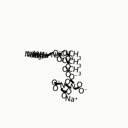 CC(=O)[O-].CC(=O)[O-].CC(=O)[O-].CC(=O)[O-].NCCN.O=C([O-])CN(CCN(CC(=O)[O-])CC(=O)[O-])CC(=O)[O-].[Na+].[Na+].[Na+].[Na+].[Na+].[Na+].[Na+].[Na+]